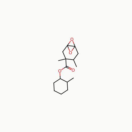 CC1CCCCC1OC(=O)C1(C)CC23OC2(CC1C)O3